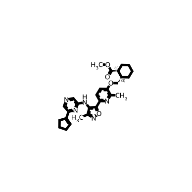 COC(=O)[C@H]1CCCC[C@@H]1COc1ccc(-c2onc(C)c2Nc2cncc(C3=CCCC3)n2)nc1C